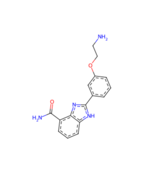 NCCOc1cccc(-c2nc3c(C(N)=O)cccc3[nH]2)c1